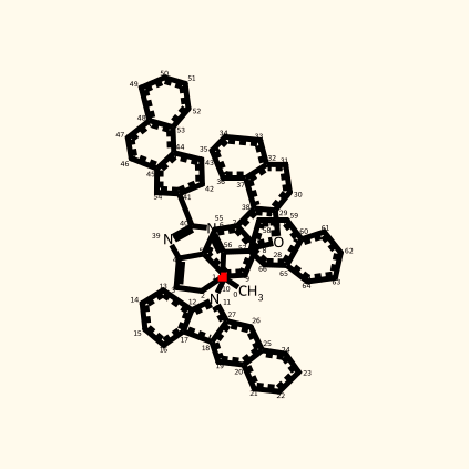 CC1C/C=C(c2cc3c(cc2-n2c4ccccc4c4cc5ccccc5cc42)oc2ccc4ccccc4c23)/N=C(c2ccc3c(ccc4ccccc43)c2)\N=C/1c1ccc2ccccc2c1